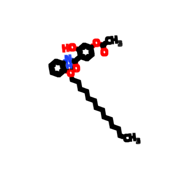 CCCCCCCCCCCCCCOc1ccccc1NC(=O)c1ccc(OC(C)=O)cc1O